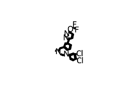 CN1CCN(c2ccc(Cl)c(Cl)c2)c2ccc(-c3ccc(OC(F)F)nn3)cc2C1